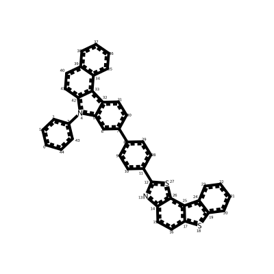 c1ccc(-n2c3cc(-c4ccc(-c5nc6ccc7sc8ccccc8c7c6s5)cc4)ccc3c3c4ccccc4ccc32)cc1